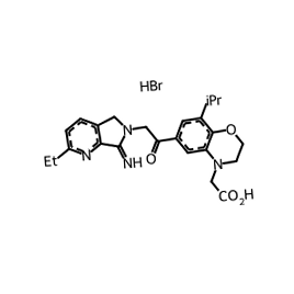 Br.CCc1ccc2c(n1)C(=N)N(CC(=O)c1cc(C(C)C)c3c(c1)N(CC(=O)O)CCO3)C2